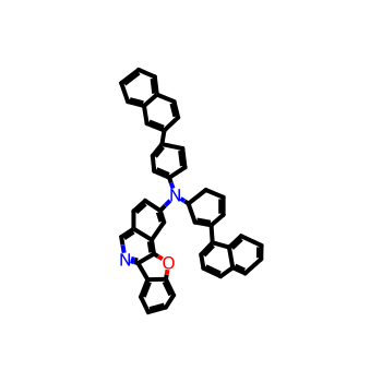 C1=CC(c2cccc3ccccc23)=CC(N(c2ccc(-c3ccc4ccccc4c3)cc2)c2ccc3cnc4c5ccccc5oc4c3c2)C1